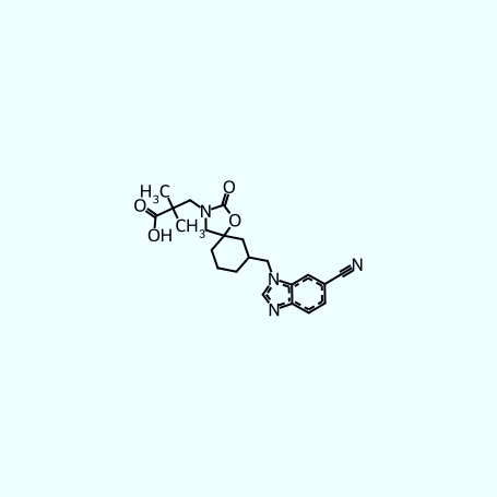 CC(C)(CN1CC2(CCCC(Cn3cnc4ccc(C#N)cc43)C2)OC1=O)C(=O)O